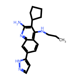 CCCNc1c(C2CCCC2)c(N)nc2cc(-c3ccn[nH]3)ccc12